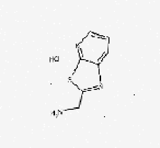 Cl.NCc1nc2cccnc2s1